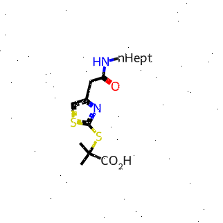 CCCCCCCNC(=O)Cc1csc(SC(C)(C)C(=O)O)n1